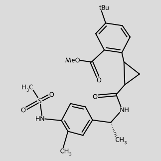 COC(=O)c1cc(C(C)(C)C)ccc1C1CC1C(=O)N[C@H](C)c1ccc(NS(C)(=O)=O)c(C)c1